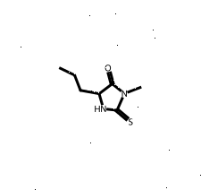 CCCC1NC(=S)N(C)C1=O